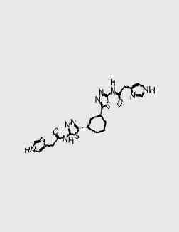 O=C(Cc1c[nH]cn1)Nc1nnc([C@H]2CCC[C@H](c3nnc(NC(=O)Cc4c[nH]cn4)s3)C2)s1